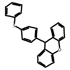 c1ccc(Sc2ccc([C]3c4ccccc4Oc4ccccc43)cc2)cc1